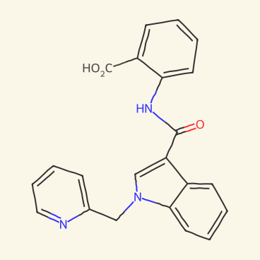 O=C(O)c1ccccc1NC(=O)c1cn(Cc2ccccn2)c2ccccc12